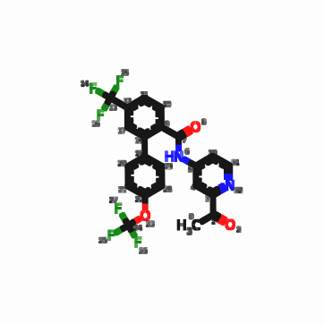 CC(=O)c1cc(NC(=O)c2ccc(C(F)(F)F)cc2-c2ccc(OC(F)(F)F)cc2)ccn1